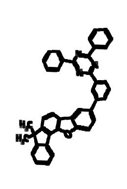 CC1(C)c2ccccc2-c2c1ccc1c2oc2ccc(-c3cccc(-c4nc(-c5ccccc5)nc(-c5ccccc5)n4)c3)cc21